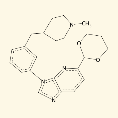 CN1CCC(Cc2cccc(-n3cnc4ccc(C5OCCCO5)nc43)c2)CC1